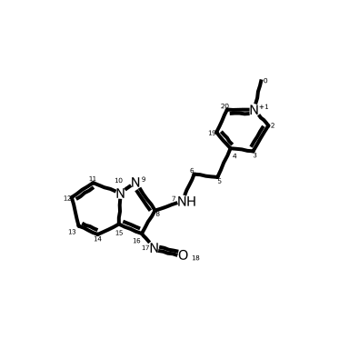 C[n+]1ccc(CCNc2nn3ccccc3c2N=O)cc1